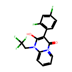 O=c1c(-c2ccc(F)cc2F)c(O)n(CC(F)(F)F)c2cccc[n+]12